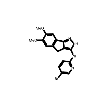 COc1cc2c(cc1OC)-c1n[nH]c(Nc3ccc(Br)cn3)c1C2